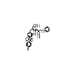 O=S(=O)(c1ccc(F)cc1)c1ccc(C[C@@H](CO)NC[C@H](O)COc2ccccc2)cc1